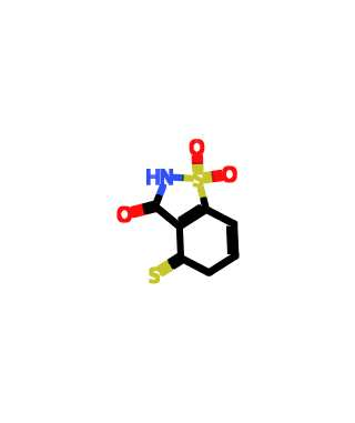 O=C1NS(=O)(=O)C2=C1C(=S)CC=C2